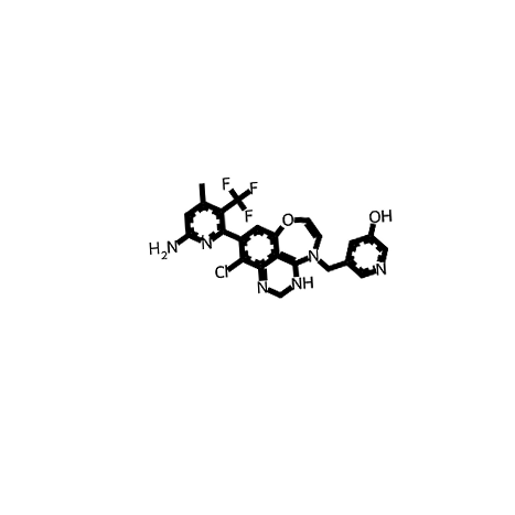 Cc1cc(N)nc(-c2cc3c4c(c2Cl)=NCNC=4N(Cc2cncc(O)c2)C=CO3)c1C(F)(F)F